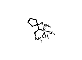 CCC1(C(CN)[PH](C)(C)C)CCCC1